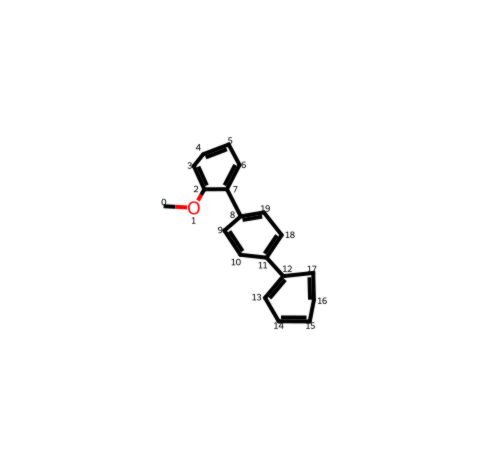 COc1ccccc1-c1ccc(-c2ccccc2)cc1